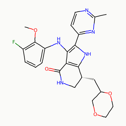 COc1c(F)cccc1Nc1c(-c2ccnc(C)n2)[nH]c2c1C(=O)NC[C@H]2CC1COCCO1